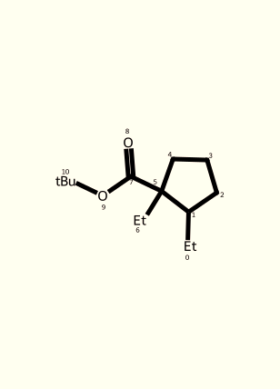 CCC1CCCC1(CC)C(=O)OC(C)(C)C